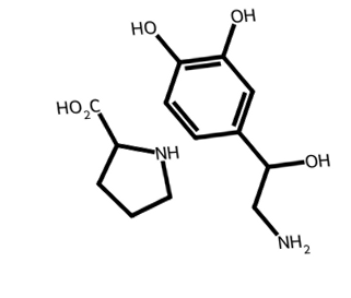 NCC(O)c1ccc(O)c(O)c1.O=C(O)C1CCCN1